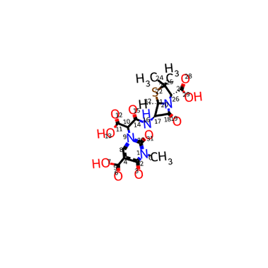 Cn1c(=O)c(C(=O)O)cn(C(C(=O)O)C(=O)N[C@@H]2C(=O)N3[C@@H]2SC(C)(C)[C@@H]3C(=O)O)c1=O